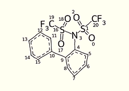 O=S(=O)(N(c1ccccc1-c1ccccc1)S(=O)(=O)C(F)(F)F)C(F)(F)F